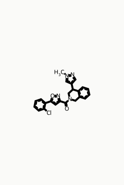 Cn1cc(C2CN(C(=O)c3cc(-c4ccccc4Cl)on3)Cc3ccccc32)cn1